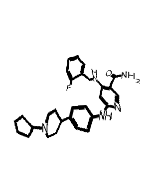 NC(=O)c1cnc(Nc2ccc(C3CCN(C4CCCC4)CC3)cc2)cc1NCc1ccccc1F